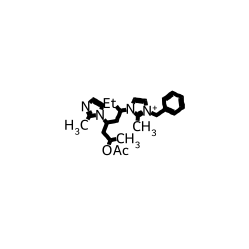 CCC(CC(CC(C)OC(C)=O)n1ccnc1C)n1cc[n+](Cc2ccccc2)c1C